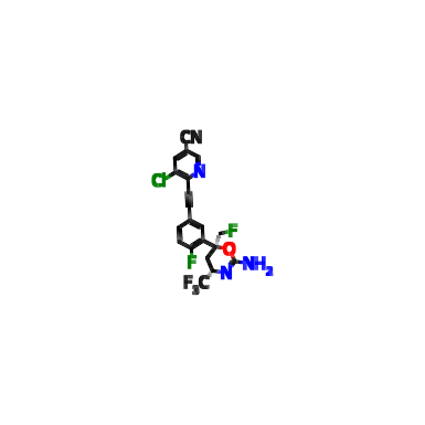 N#Cc1cnc(C#Cc2ccc(F)c([C@]3(CF)C[C@@H](C(F)(F)F)N=C(N)O3)c2)c(Cl)c1